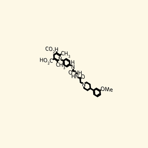 COc1cccc(C2CCN(CC(=O)NNC(=O)Nc3ccc(N4C(C)=C(C(=O)O)CC(C(=O)O)=C4C)cc3)CC2)c1